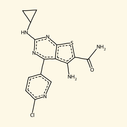 NC(=O)c1sc2nc(NC3CC3)nc(-c3ccc(Cl)nc3)c2c1N